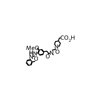 COc1cc(CC(=O)N(C)CC(=O)N2CCC(CC(=O)O)CC2)ccc1NC(=O)Nc1ccccc1C